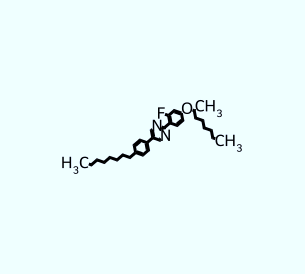 CCCCCCCCc1ccc(-c2cnc(-c3ccc(O[C@H](C)CCCCCC)cc3F)nc2)cc1